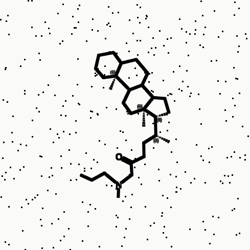 CCCN(C)CC(=O)CC[C@@H](C)[C@H]1CCC2C3CCC4CCCC[C@]4(C)C3CC[C@@]21C